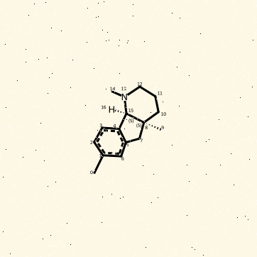 Cc1ccc2c(c1)C[C@]1(C)CCCN(C)[C@H]21